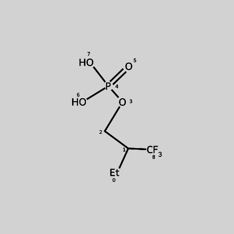 CCC(COP(=O)(O)O)C(F)(F)F